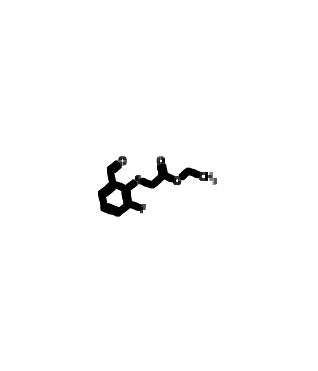 CCOC(=O)CSc1c(F)cccc1C=O